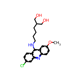 COc1ccc2nc3cc(Cl)ccc3c(NCCCCC(CO)CO)c2c1